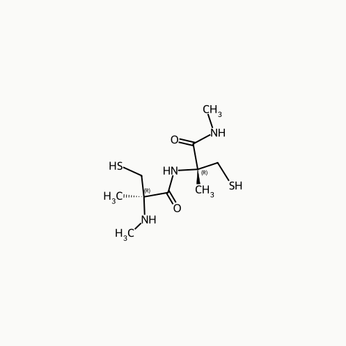 CNC(=O)[C@](C)(CS)NC(=O)[C@](C)(CS)NC